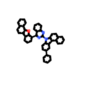 c1ccc(-c2ccc3c(c2)c2c4ccccc4ccc2n3-c2nc(-c3cccc4c3oc3c5ccccc5ccc43)c3ccccc3n2)cc1